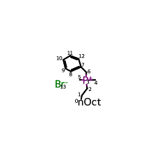 CCCCCCCCCC[P+](C)(C)Cc1ccccc1.[Br-]